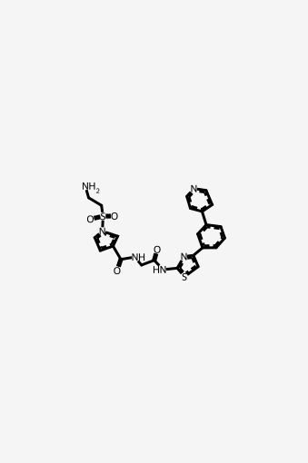 NCCS(=O)(=O)n1ccc(C(=O)NCC(=O)Nc2nc(-c3cccc(-c4ccncc4)c3)cs2)c1